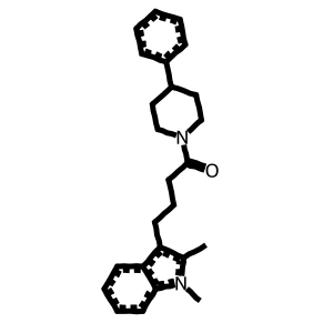 Cc1c(CCCC(=O)N2CCC(c3ccccc3)CC2)c2ccccc2n1C